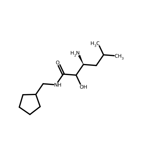 CC(C)C[C@H](N)C(O)C(=O)NCC1CCCC1